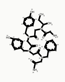 CCC(C)N(CC(=O)N(CC(=O)N(CC(=O)N(CC(N)=O)Cc1ccccc1)Cc1ccc(O)cc1)Cc1ccc(O)cc1)C(=O)CN